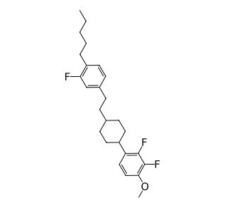 CCCCCc1ccc(CCC2CCC(c3ccc(OC)c(F)c3F)CC2)cc1F